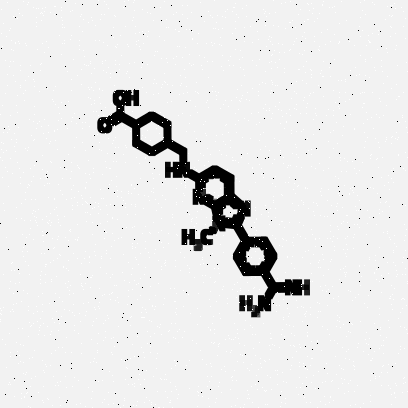 Cn1c(-c2ccc(C(=N)N)cc2)nc2ccc(NCC3CCC(C(=O)O)CC3)nc21